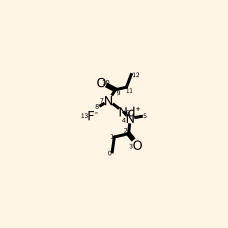 CCC(=O)[N](C)[Nd+][N](C)C(=O)CC.[F-]